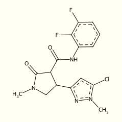 CN1CC(c2cc(Cl)n(C)n2)C(C(=O)Nc2cccc(F)c2F)C1=O